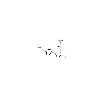 COc1ccc(-c2ccc(CCC(=O)O)cc2)n2nc(C3CC3)nc12